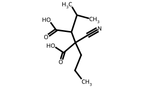 CCCC(C#N)(C(=O)O)C(C(=O)O)C(C)C